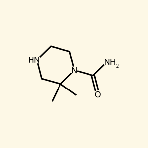 CC1(C)CNCCN1C(N)=O